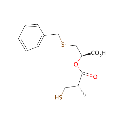 C[C@H](CS)C(=O)O[C@@H](CSCc1ccccc1)C(=O)O